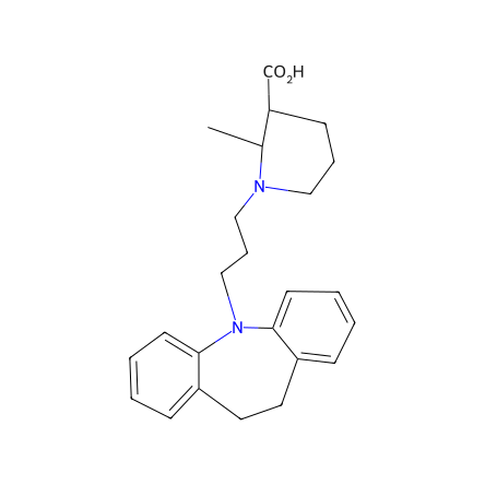 CC1C(C(=O)O)CCCN1CCCN1c2ccccc2CCc2ccccc21